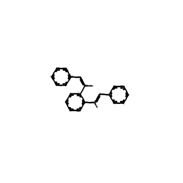 O=C(O)C(=Cc1ccccc1)c1ccccc1C(=Cc1ccccc1)C(=O)O